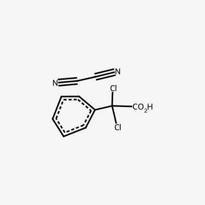 N#CC#N.O=C(O)C(Cl)(Cl)c1ccccc1